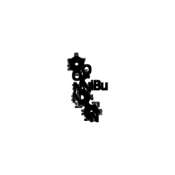 CCC(C)n1c(C2COc3ccccc3O2)nc2ncc(-c3ccncc3)cc21